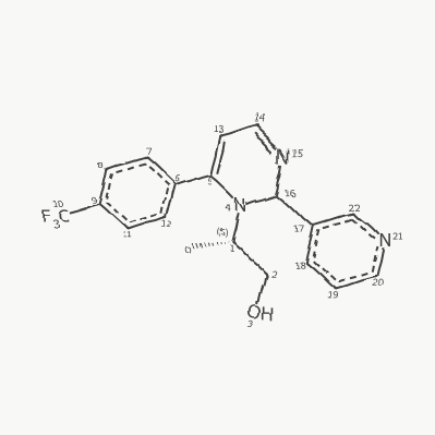 C[C@@H](CO)N1C(c2ccc(C(F)(F)F)cc2)=CC=NC1c1cccnc1